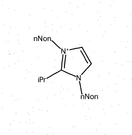 CCCCCCCCCn1cc[n+](CCCCCCCCC)c1C(C)C